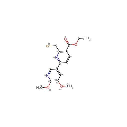 CCOC(=O)c1ccc(-c2cnc(OC)c(OC)c2)nc1CBr